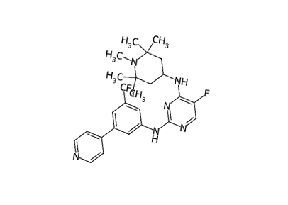 CN1C(C)(C)CC(Nc2nc(Nc3cc(-c4ccncc4)cc(C(F)(F)F)c3)ncc2F)CC1(C)C